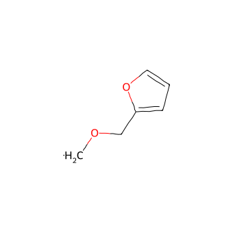 [CH2]OCc1ccco1